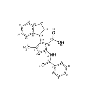 Cc1sc(NC(=O)c2ccccc2)c(C(=O)O)c1C1CCc2ccccc21